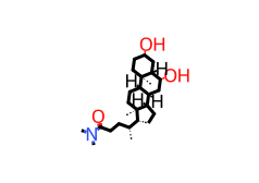 C[C@H](CCC(=O)N(C)C)[C@H]1CC[C@H]2[C@@H]3C[C@@H](O)[C@H]4C[C@@H](O)CC[C@]4(C)[C@H]3CC[C@]12C